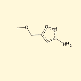 COCc1cc(N)no1